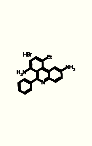 Br.CCc1ccc(N)c2c(-c3ccccc3)nc3ccc(N)cc3c12